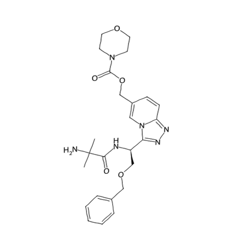 CC(C)(N)C(=O)N[C@H](COCc1ccccc1)c1nnc2ccc(COC(=O)N3CCOCC3)cn12